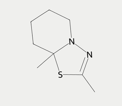 CC1=NN2CCCCC2(C)S1